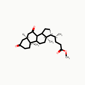 COC(=O)CC[C@@H](C)[C@H]1CCC2C3C(=O)C[C@@H]4CC(=O)CC[C@]4(C)C3CC[C@@]21C